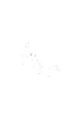 CCOC(=O)CCCCCC1(C)\C(=C/C=C/C=C/c2oc3c4ccccc4ccc3[n+]2CC(C)(C)C2OCCO2)N(CC/C=C(\C2CCC3(CCCCC3)CC2)C(OC)OC)c2ccccc21